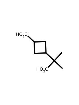 CC(C)(C(=O)O)C1CC(C(=O)O)C1